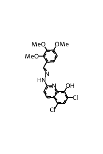 COc1ccc(/C=N/Nc2ccc3c(Cl)cc(Cl)c(O)c3n2)c(OC)c1OC